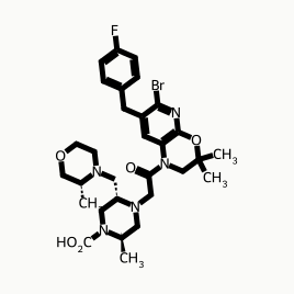 C[C@@H]1COCCN1C[C@H]1CN(C(=O)O)[C@H](C)CN1CC(=O)N1CC(C)(C)Oc2nc(Br)c(Cc3ccc(F)cc3)cc21